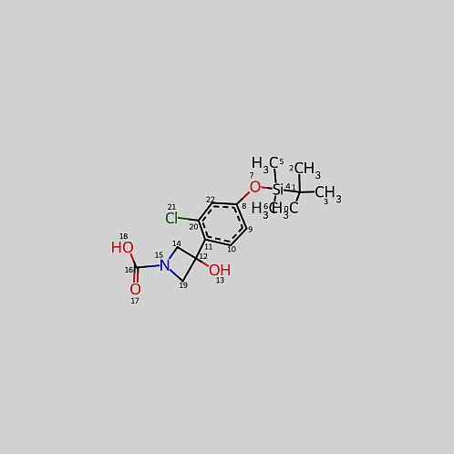 CC(C)(C)[Si](C)(C)Oc1ccc(C2(O)CN(C(=O)O)C2)c(Cl)c1